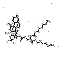 CC1(C)O[C@@H]2C[C@H]3[C@@H]4CCC5=CC(=O)C=C[C@]5(C)[C@@]4(F)[C@@H](O)C[C@]3(C)[C@]2(C(=O)COC(=O)OCC(NC(=O)CCCCCO[N+](=O)[O-])C(=O)OCCCCO[N+](=O)[O-])O1